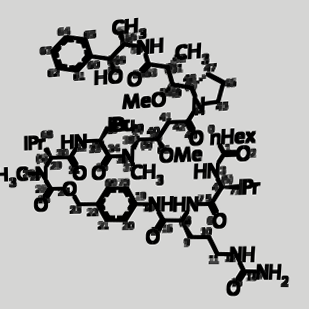 CCCCCCC(=O)N[C@H](C(=O)N[C@@H](CCCNC(N)=O)C(=O)Nc1ccc(COC(=O)N(C)[C@H](C(=O)N[C@H](C(=O)N(C)[C@@H]([C@@H](C)CC)[C@@H](CC(=O)N2CCC[C@H]2[C@H](OC)[C@@H](C)C(=O)N[C@H](C)[C@@H](O)c2ccccc2)OC)C(C)C)C(C)C)cc1)C(C)C